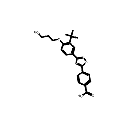 CC(C)(C)c1cc(-c2noc(-c3ccc(C(=O)O)cc3)n2)ccc1OCCCO